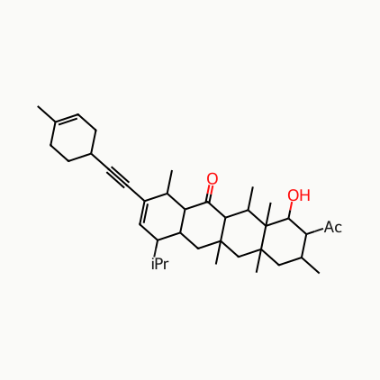 CC(=O)C1C(C)CC2(C)CC3(C)CC4C(C(C)C)C=C(C#CC5CC=C(C)CC5)C(C)C4C(=O)C3C(C)C2(C)C1O